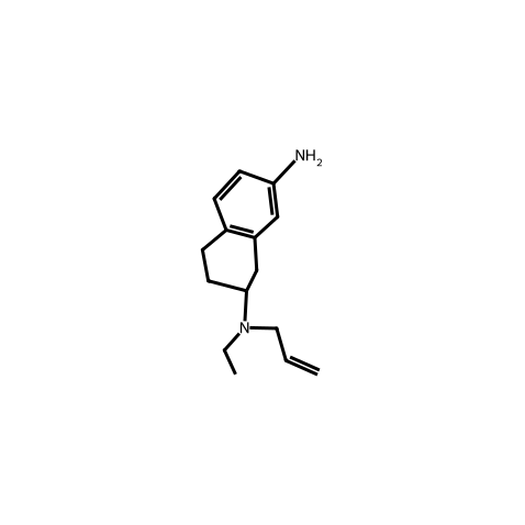 C=CCN(CC)C1CCc2ccc(N)cc2C1